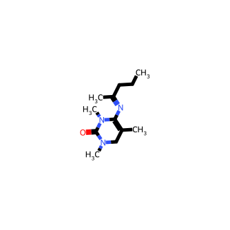 CCC/C(C)=N/C1=C(C)CN(C)C(=O)N1C